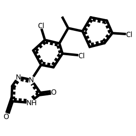 CC(c1ccc(Cl)cc1)c1c(Cl)cc(-n2ncc(=O)[nH]c2=O)cc1Cl